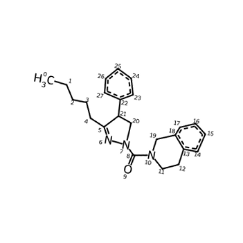 CCCCCC1=NN(C(=O)N2CCc3ccccc3C2)CC1c1ccccc1